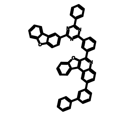 c1ccc(-c2cccc(-c3ccc4nc(-c5cccc(-c6nc(-c7ccccc7)nc(-c7ccc8oc9ccccc9c8c7)n6)c5)c5oc6ccccc6c5c4c3)c2)cc1